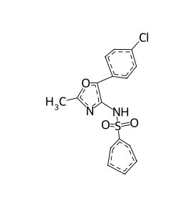 Cc1nc(NS(=O)(=O)c2ccccc2)c(-c2ccc(Cl)cc2)o1